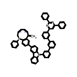 C=C1/C=C\C=C/CN(c2ccccc2)c2ccc(-c3ccc4c(c3)c3ccccc3n4-c3cccc(-c4cccc(-c5cccc(-c6cc(-c7ccccc7)nc(-c7ccccc7)n6)c5)c4)c3)cc21